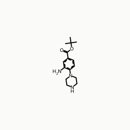 CC(C)(C)OC(=O)c1ccc(N2CCNCC2)c(N)c1